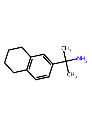 CC(C)(N)c1ccc2c(c1)CCC[CH]2